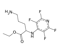 CCOC(=O)C(CCCN)Nc1c(F)c(F)nc(F)c1F